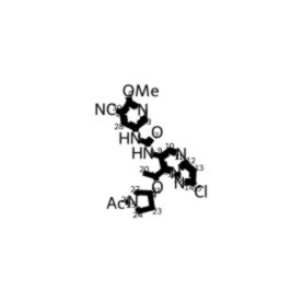 COc1ncc(NC(=O)Nc2cnc3cc(Cl)nn3c2C(C)O[C@H]2CCN(C(C)=O)C2)cc1C#N